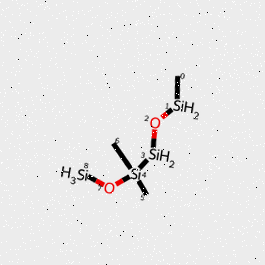 C[SiH2]O[SiH2][Si](C)(C)O[SiH3]